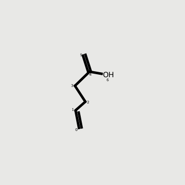 C=CCCC(=C)O